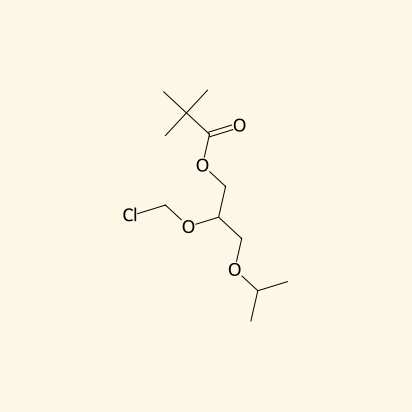 CC(C)OCC(COC(=O)C(C)(C)C)OCCl